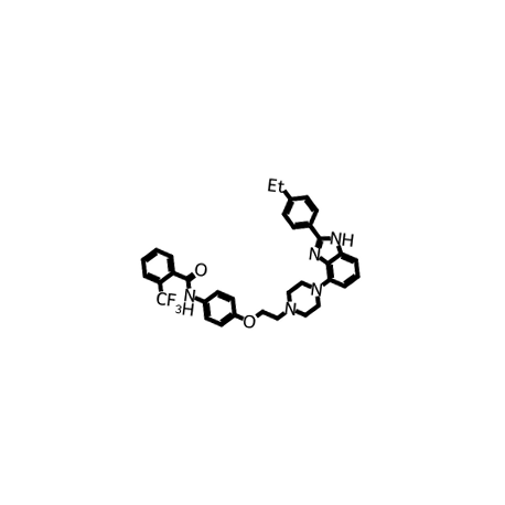 CCc1ccc(-c2nc3c(N4CCN(CCOc5ccc(NC(=O)c6ccccc6C(F)(F)F)cc5)CC4)cccc3[nH]2)cc1